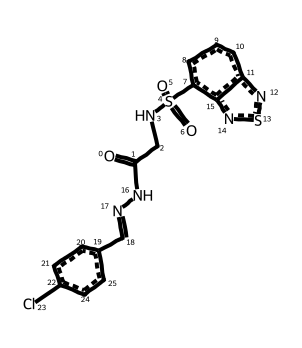 O=C(CNS(=O)(=O)c1cccc2nsnc12)NN=Cc1ccc(Cl)cc1